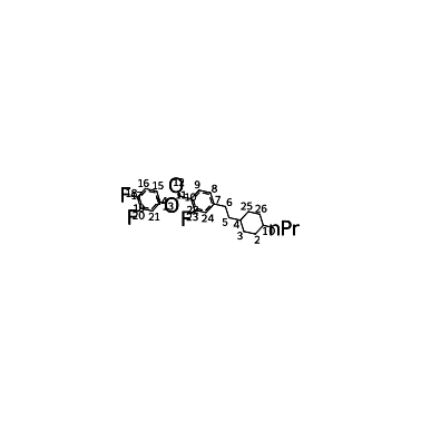 CCCC1CCC(CCc2ccc(C(=O)Oc3ccc(F)c(F)c3)c(F)c2)CC1